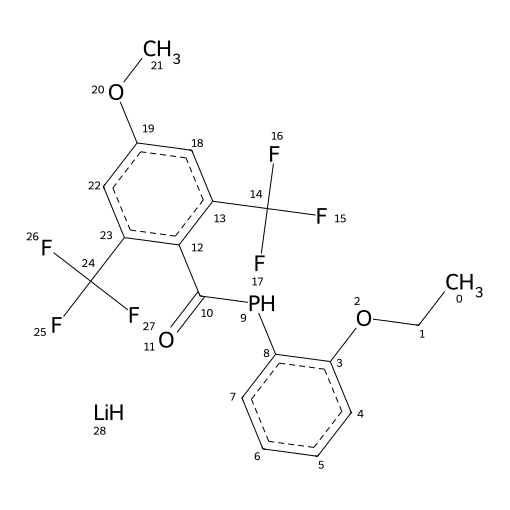 CCOc1ccccc1PC(=O)c1c(C(F)(F)F)cc(OC)cc1C(F)(F)F.[LiH]